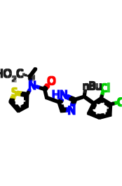 CCCCC(c1ncc(CC(=O)N(c2cccs2)[C@@H](C)C(=O)O)[nH]1)c1cccc(Cl)c1Cl